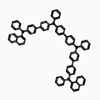 C1=CC2C=CC=C(N(c3ccccc3)c3ccc(-c4ccc(N(c5ccccc5)c5ccc(-c6ccc(N(c7ccccc7)c7ccc(-c8ccc(N(c9ccccc9)c9cccc%10ccccc9%10)cc8)cc7)cc6)cc5)cc4)cc3)C2C=C1